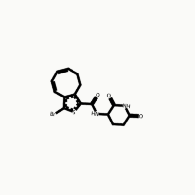 O=C1CCC(NC(=O)c2sc(Br)c3c2CC/C=C\C=C/3)C(=O)N1